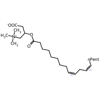 CCCCC/C=C\C/C=C\CCCCCCCC(=O)OC(CC(=O)[O-])C[N+](C)(C)C